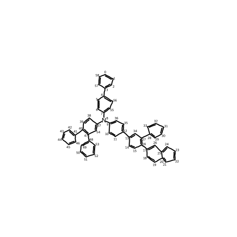 c1ccc(-c2ccc(N(c3ccc(-c4ccc(-c5ccc6ccccc6c5)c(-c5ccccc5)c4)cc3)c3ccc(-c4ccccc4)c(-c4ccccc4)c3)cc2)cc1